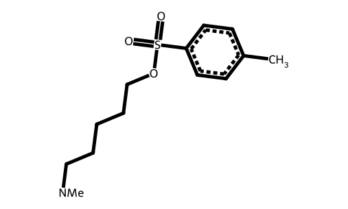 CNCCCCCOS(=O)(=O)c1ccc(C)cc1